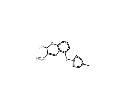 Cc1ccc(Sc2cccc3c2C=C(C(=O)O)C(C(F)(F)F)O3)cc1